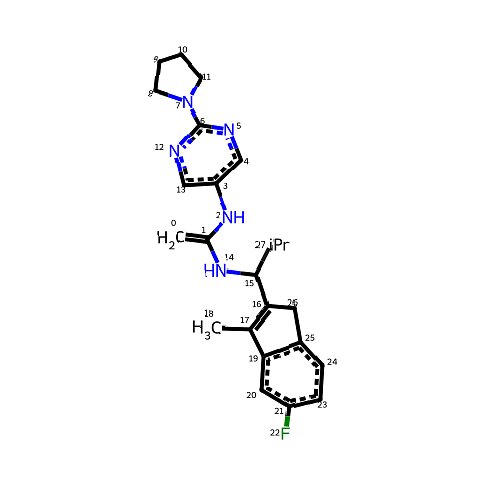 C=C(Nc1cnc(N2CCCC2)nc1)NC(C1=C(C)c2cc(F)ccc2C1)C(C)C